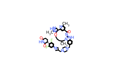 CN/C1=C(\C=N)c2cc(cc(C)n2)C(=O)/N=C2\Nc3ccc(CN4CCN(CC5CN(c6cc(F)c([C@H]7CCC(=O)NC7=O)c(F)c6)C5)CC4)cc3N2C[C@H](C)CCCO1